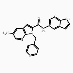 O=C(Nc1cnc2[nH]ccc2c1)c1cc2cc(C(F)(F)F)cnc2n1Cc1ccncc1